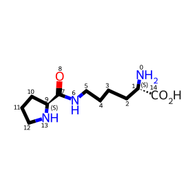 N[C@@H](CCCCNC(=O)[C@@H]1CCCN1)C(=O)O